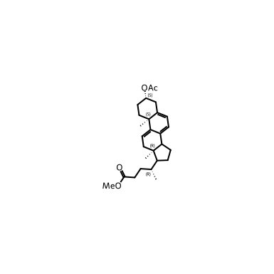 COC(=O)CC[C@@H](C)C1CCC2C3=CC=C4C[C@@H](OC(C)=O)CC[C@]4(C)C3=CC[C@@]21C